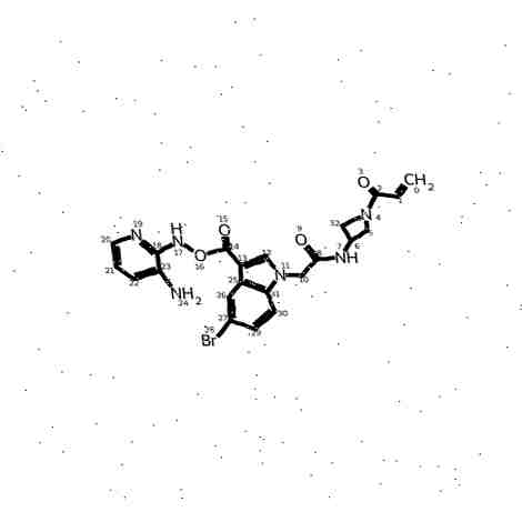 C=CC(=O)N1CC(NC(=O)Cn2cc(C(=O)ONc3ncccc3N)c3cc(Br)ccc32)C1